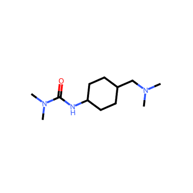 CN(C)CC1CCC(NC(=O)N(C)C)CC1